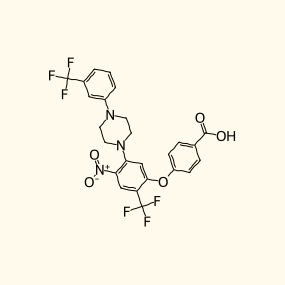 O=C(O)c1ccc(Oc2cc(N3CCN(c4cccc(C(F)(F)F)c4)CC3)c([N+](=O)[O-])cc2C(F)(F)F)cc1